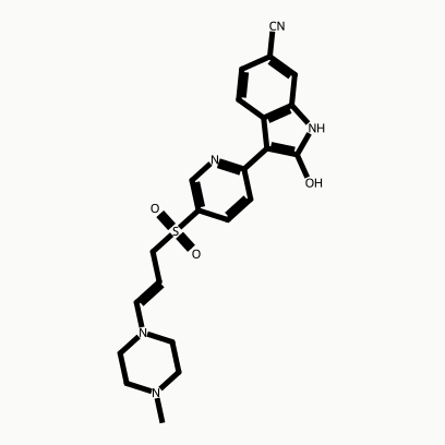 CN1CCN(C=CCS(=O)(=O)c2ccc(-c3c(O)[nH]c4cc(C#N)ccc34)nc2)CC1